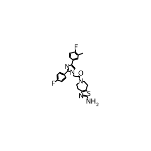 Cc1cc(-c2cn(CC(=O)N3CCc4nc(N)sc4CC3)c(-c3ccc(F)cc3)n2)ccc1F